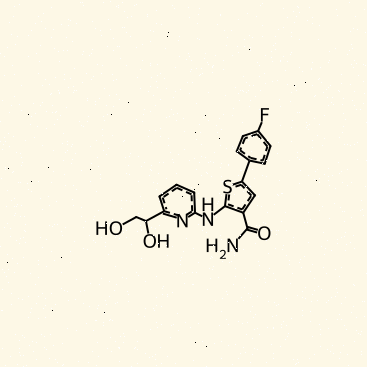 NC(=O)c1cc(-c2ccc(F)cc2)sc1Nc1cccc(C(O)CO)n1